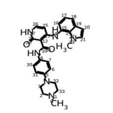 CN1CCN(c2ccc(NC(=O)c3c(Nc4cccc5ccn(C)c45)cc[nH]c3=O)cc2)CC1